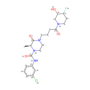 C[C@H]1C(=O)N(CCCC(=O)N2CCC(F)C(O)C2)CCN1C(=O)Nc1cccc(Cl)c1